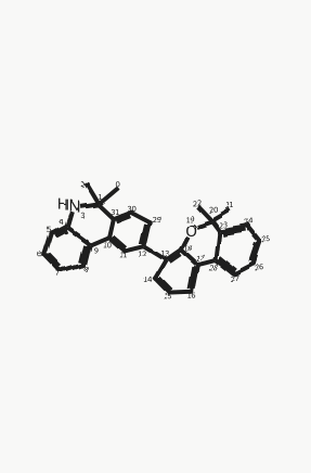 CC1(C)Nc2ccccc2-c2cc(-c3cccc4c3OC(C)(C)c3ccccc3-4)ccc21